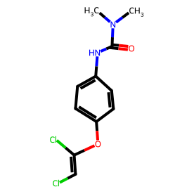 CN(C)C(=O)Nc1ccc(OC(Cl)=CCl)cc1